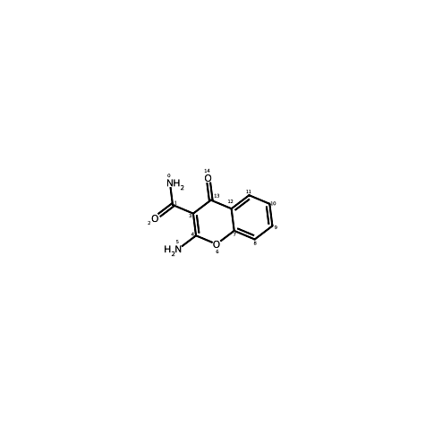 NC(=O)c1c(N)oc2ccccc2c1=O